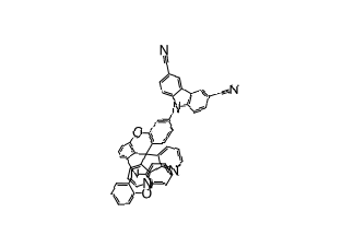 N#Cc1ccc2c(c1)c1cc(C#N)ccc1n2-c1ccc2c(c1)Oc1cccc(N3c4ccccc4Oc4ccccc43)c1C21c2cccnc2-c2ncccc21